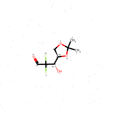 CC1(C)OC[C@H]([C@H](O)C(F)(F)C=O)O1